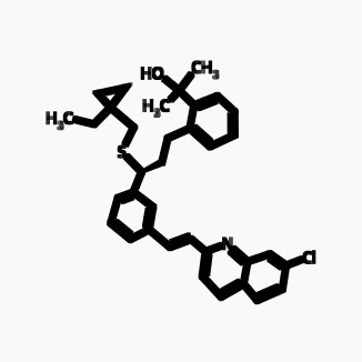 CCC1(CS[C@@H](CCc2ccccc2C(C)(C)O)c2cccc(/C=C/c3ccc4ccc(Cl)cc4n3)c2)CC1